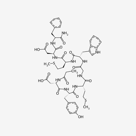 CCC(=O)N[C@@H](CC(=O)O)C(=O)N[C@@H](Cc1ccc(O)cc1)C(=O)N[C@@H](CCSC)C(=O)NCC(=O)N[C@@H](Cc1c[nH]c2ccccc12)C(=O)N[C@@H](CCSC)C(=O)N[C@@H](CC(=O)O)C(=O)N[C@@H](Cc1ccccc1)C(N)=O